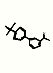 CC(Br)c1cccc(-c2ccc(C(C)(C)C)cc2)c1